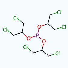 ClCC(CCl)OP(OC(CCl)CCl)OC(CCl)CCl